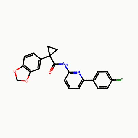 O=C(Nc1cccc(-c2ccc(F)cc2)n1)C1(c2ccc3c(c2)OCO3)CC1